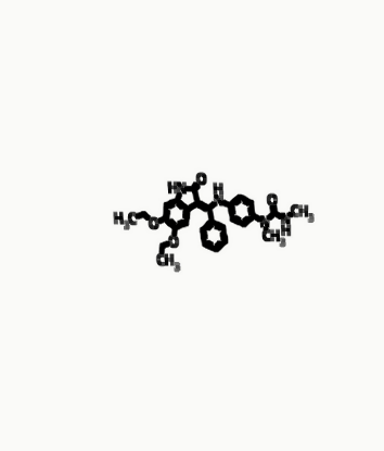 CCOc1cc2c(cc1OCC)/C(=C(/Nc1ccc(N(C)C(=O)NC)cc1)c1ccccc1)C(=O)N2